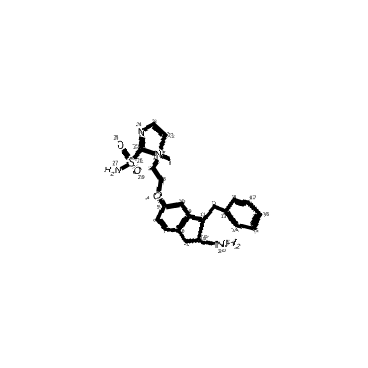 C[N+]1(CCOc2ccc3c(c2)C(Cc2ccccc2)C(N)C3)C=CN=C1S(N)(=O)=O